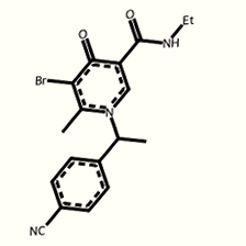 CCNC(=O)c1cn(C(C)c2ccc(C#N)cc2)c(C)c(Br)c1=O